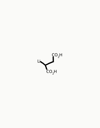 [Li][CH](CC(=O)O)C(=O)O